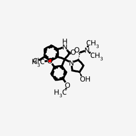 COc1ccc(OC)c(C2(N3C[C@H](O)C[C@H]3C(=O)N(C)C)C(=O)Nc3ccc(Cl)cc32)c1